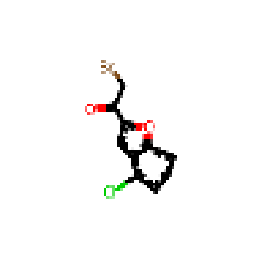 O=C(CBr)c1cc2c(Cl)cccc2o1